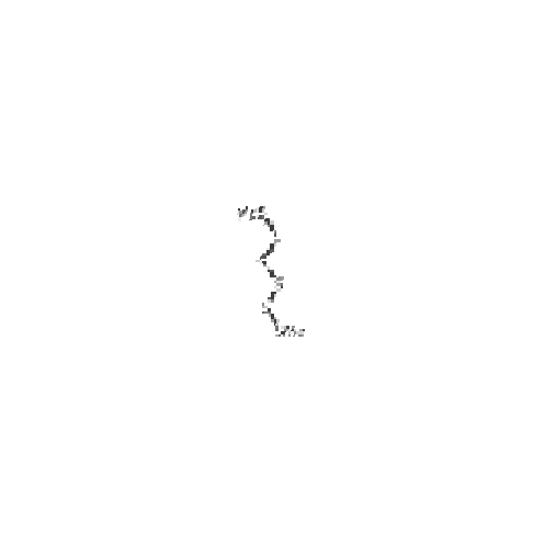 [C]SSSSSS[C]